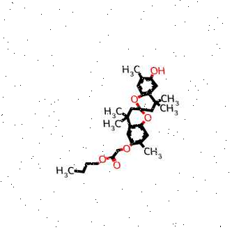 CCCCOC(=O)COc1cc2c(cc1C)OC1(CC(C)(C)c3cc(O)c(C)cc3O1)CC2(C)C